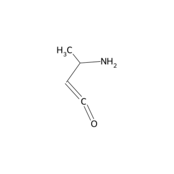 CC(N)C=C=O